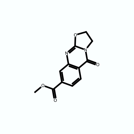 COC(=O)c1ccc2c(=O)n3c(nc2c1)OCC3